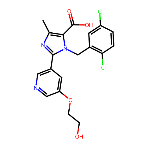 Cc1nc(-c2cncc(OCCO)c2)n(Cc2cc(Cl)ccc2Cl)c1C(=O)O